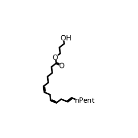 CCCCCC=CC/C=C\C/C=C\CCCCC(=O)OCCCO